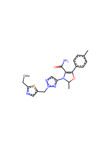 COCc1ncc(Cn2ncc(N3C(C(N)=O)=C(c4ccc(C)cc4)OC3C)n2)s1